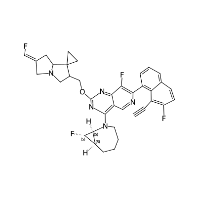 C#Cc1c(F)ccc2cccc(-c3ncc4c(N5CCCC[C@H]6[C@H](F)[C@H]65)nc(OCC5CN6CC(=CF)CC6C56CC6)nc4c3F)c12